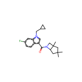 CC1(C)CC2N(C(=O)c3cn(CC4CC4)c4cc(F)ccc34)CC2(C)C1